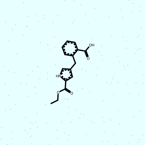 CCOC(=O)c1cc(Cc2ccccc2C(=O)O)c[nH]1